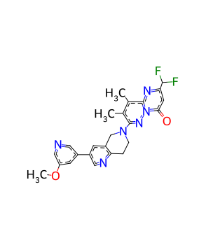 COc1cncc(-c2cnc3c(c2)CN(c2nn4c(=O)cc(C(F)F)nc4c(C)c2C)CC3)c1